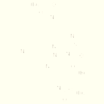 Cn1ccc(-c2cnn3c(N(C(=O)OC(C)(C)C)c4cc(C5CCN(C(=O)OC(C)(C)C)CC5)ns4)cc(C4CCCN(C(=O)OC(C)(C)C)C4)nc23)c1